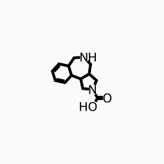 O=C(O)N1CC2CNCC3C=CC=CC3C2C1